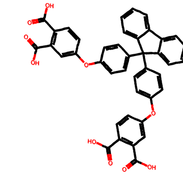 O=C(O)c1ccc(Oc2ccc(C3(c4ccc(Oc5ccc(C(=O)O)c(C(=O)O)c5)cc4)c4ccccc4-c4ccccc43)cc2)cc1C(=O)O